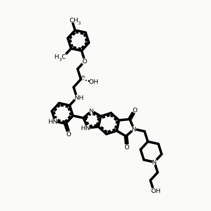 Cc1ccc(OC[C@H](O)CNc2cc[nH]c(=O)c2-c2nc3cc4c(cc3[nH]2)C(=O)N(CC2CCN(CCO)CC2)C4=O)c(C)c1